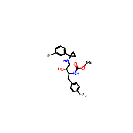 CC(C)c1cccc(C2(NC[C@H](O)[C@H](Cc3ccc([N+](=O)[O-])cc3)NC(=O)OC(C)(C)C)CC2)c1